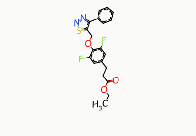 CCOC(=O)CCc1cc(F)c(OCc2snnc2-c2ccccc2)c(F)c1